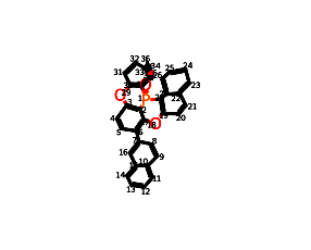 O=P12c3c(ccc(-c4ccc5ccccc5c4)c3Oc3ccc4ccccc4c31)Oc1ccc3ccccc3c12